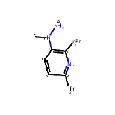 CCCc1nc(C(C)C)ccc1N(C)N